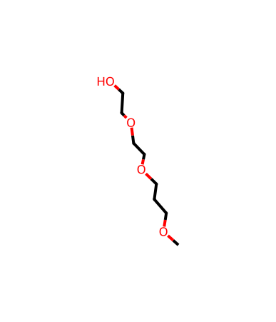 COCCCOCCOCCO